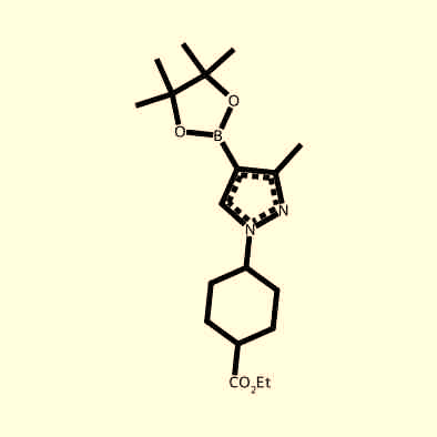 CCOC(=O)C1CCC(n2cc(B3OC(C)(C)C(C)(C)O3)c(C)n2)CC1